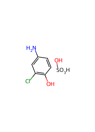 Nc1ccc(O)c(Cl)c1.O=S(=O)(O)O